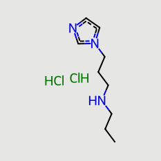 CCCNCCCn1ccnc1.Cl.Cl